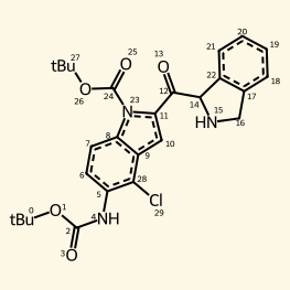 CC(C)(C)OC(=O)Nc1ccc2c(cc(C(=O)C3NCc4ccccc43)n2C(=O)OC(C)(C)C)c1Cl